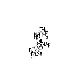 CC(C)(O)Cc1nnc(-c2nc(C(=O)N3CCC(F)C3)c(-c3ccc(C(O)(C(F)(F)F)C(F)(F)F)c(Cl)c3Cl)s2)o1